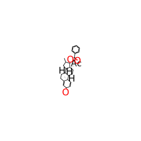 CC(=O)[C@@]1(OC(=O)c2ccccc2)C(C)C[C@H]2[C@@H]3CCC4=CC(=O)C=C[C@]4(C)[C@H]3CC[C@@]21C